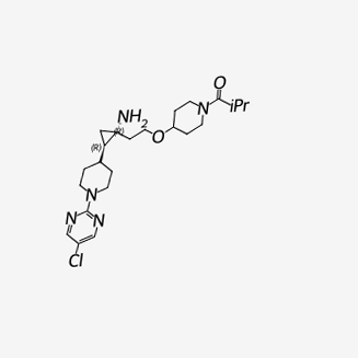 CC(C)C(=O)N1CCC(OCC[C@]2(N)C[C@@H]2C2CCN(c3ncc(Cl)cn3)CC2)CC1